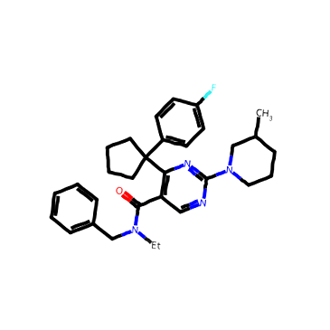 CCN(Cc1ccccc1)C(=O)c1cnc(N2CCCC(C)C2)nc1C1(c2ccc(F)cc2)CCCC1